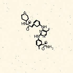 Cc1ccc(Nc2ncc(F)c(NC3=CC=C/C(=C\S(=O)(=O)NC4CCN(C)CC4)C3)n2)cc1S(N)(=O)=O